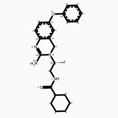 C[C@H](CNC(=O)C1CCCCC1)N1Cc2cc(Oc3ccccc3)ccc2N=C1N